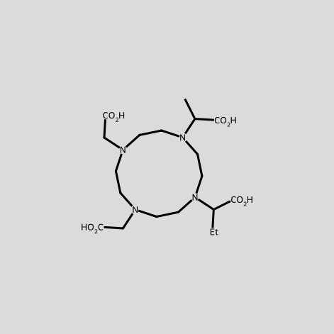 CCC(C(=O)O)N1CCN(CC(=O)O)CCN(CC(=O)O)CCN(C(C)C(=O)O)CC1